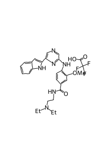 CCN(CC)CCNC(=O)c1ccc(Nc2cncc(-c3cc4ccccc4[nH]3)n2)c(OC)c1.O=C(O)C(F)(F)F